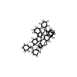 c1ccc(N(c2cccnc2)c2ccc3c(c2)C2(c4ccccc4Oc4cc5cccnc5cc42)c2cc(N(c4ccccc4)c4cccnc4)c4ccccc4c2-3)cc1